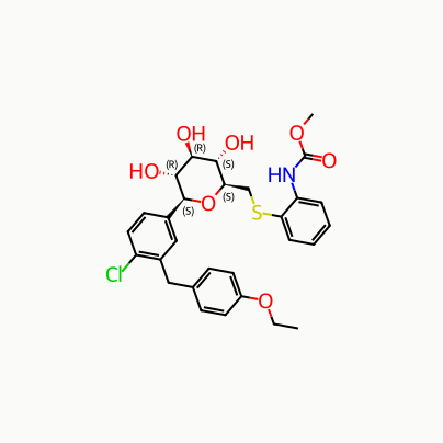 CCOc1ccc(Cc2cc([C@@H]3O[C@H](CSc4ccccc4NC(=O)OC)[C@@H](O)[C@H](O)[C@H]3O)ccc2Cl)cc1